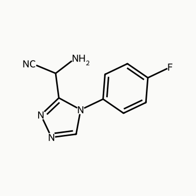 N#CC(N)c1nncn1-c1ccc(F)cc1